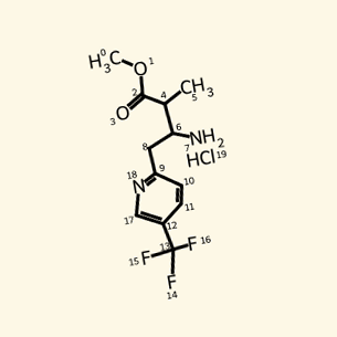 COC(=O)C(C)C(N)Cc1ccc(C(F)(F)F)cn1.Cl